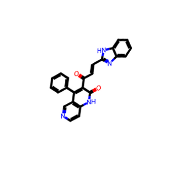 O=C(/C=C/c1nc2ccccc2[nH]1)c1c(-c2ccccc2)c2cnccc2[nH]c1=O